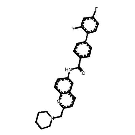 O=C(Nc1ccc2nc(CN3CCCCC3)ccc2c1)c1ccc(-c2ccc(F)cc2F)cc1